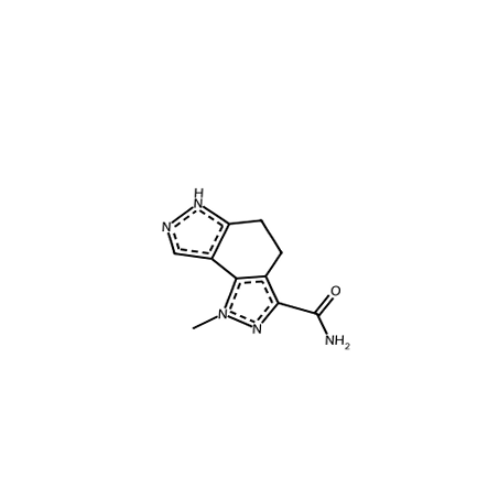 Cn1nc(C(N)=O)c2c1-c1cn[nH]c1CC2